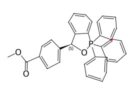 COC(=O)c1ccc([C@@H]2OP(c3ccccc3)(c3ccccc3)(c3ccccc3)c3ccccc32)cc1